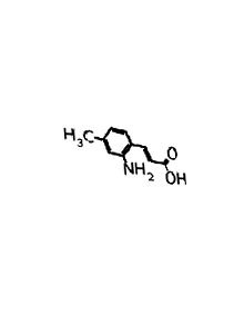 Cc1ccc(C=CC(=O)O)c(N)c1